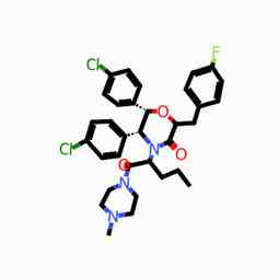 CCCC(C(=O)N1CCN(C)CC1)N1C(=O)C(Cc2ccc(F)cc2)O[C@@H](c2ccc(Cl)cc2)[C@H]1c1ccc(Cl)cc1